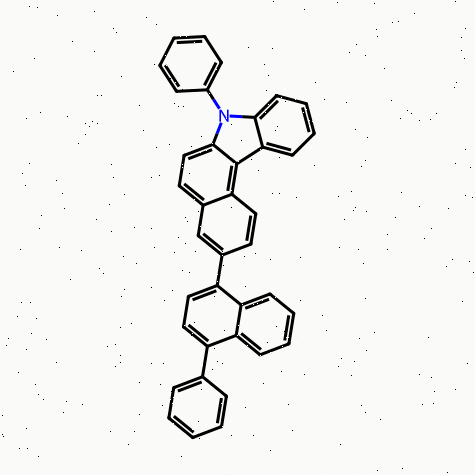 c1ccc(-c2ccc(-c3ccc4c(ccc5c4c4ccccc4n5-c4ccccc4)c3)c3ccccc23)cc1